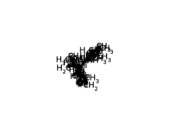 C=CCN(C)C(=O)[C@H](NC(=O)[C@H](CC)NC(=O)[C@H](CCCNC(=N)NS(=O)(=O)c1c(C)c(C)c2c(c1C)CC(C)(C)O2)NC(=O)[C@@](C)(CC=C)NC(=O)C(C)C)c1ccccc1